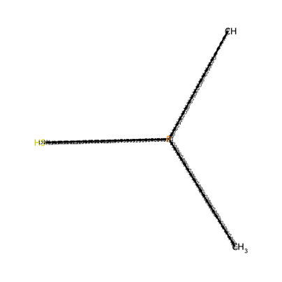 C#CC#CC#CC#CC#CC#CC#CC#CC#CC#CC#CC#CC#CC#CC#CC#CC#CC#CC#CC#CP(C#CC#CC#CC#CC#CC#CC#CC#CC#CC#CC#CC#CC#CC#CC#CC#CC#CC#CC#CC#CC)C#CC#CC#CC#CC#CC#CC#CC#CC#CC#CC#CC#CC#CC#CC#CC#CC#CC#CC#CC#CS